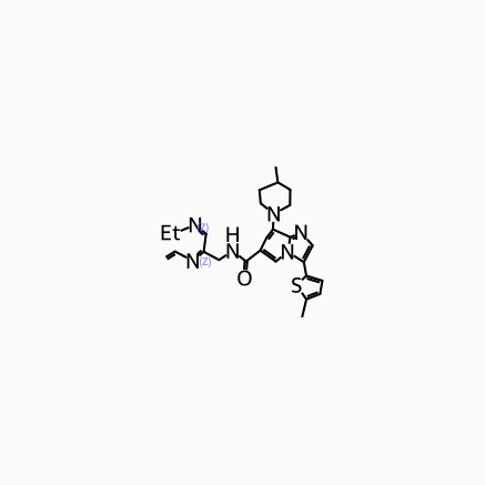 C=C/N=C(\C=N/CC)CNC(=O)c1cc(N2CCC(C)CC2)c2ncc(-c3ccc(C)s3)n2c1